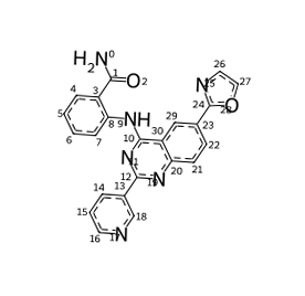 NC(=O)c1ccccc1Nc1nc(-c2cccnc2)nc2ccc(-c3ncco3)cc12